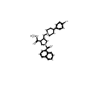 COC(=O)C1CN(C(=O)c2cccc3ccccc23)CC1CN1CCC(c2ccc(F)cc2)CC1